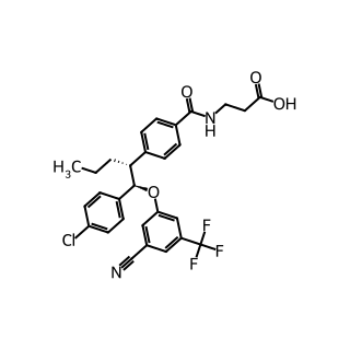 CCC[C@H](c1ccc(C(=O)NCCC(=O)O)cc1)[C@@H](Oc1cc(C#N)cc(C(F)(F)F)c1)c1ccc(Cl)cc1